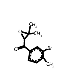 Cc1ccc(C(=O)C2OC2(C)C)cc1Br